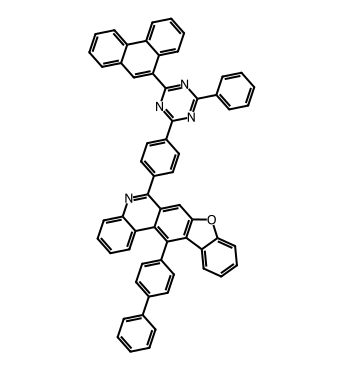 c1ccc(-c2ccc(-c3c4c(cc5c(-c6ccc(-c7nc(-c8ccccc8)nc(-c8cc9ccccc9c9ccccc89)n7)cc6)nc6ccccc6c35)oc3ccccc34)cc2)cc1